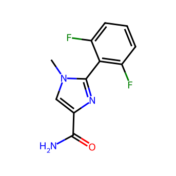 Cn1cc(C(N)=O)nc1-c1c(F)cccc1F